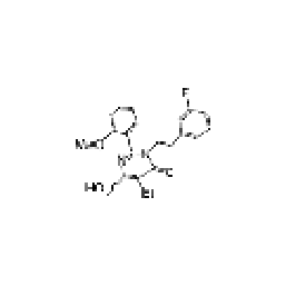 CCc1c(C(=O)O)nc(-c2ccccc2OC)n(CCc2cccc(F)c2)c1=O